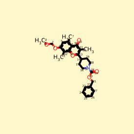 COCOc1cc(C)c2c(=O)c(C)c(C3CCN(C(=O)OCc4ccccc4)CC3)oc2c1C